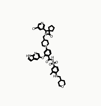 Cc1cc(S(=O)(=O)NC(=O)c2ccc(N3CCC(CN4C(=O)C5(CCCC5)C4c4cncc(Cl)c4)CC3)cc2Oc2cnc3[nH]ccc3c2)ccc1NCC1CCOCC1